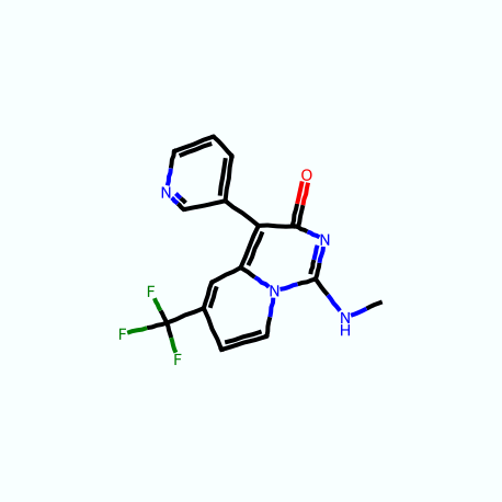 CNc1nc(=O)c(-c2cccnc2)c2cc(C(F)(F)F)ccn12